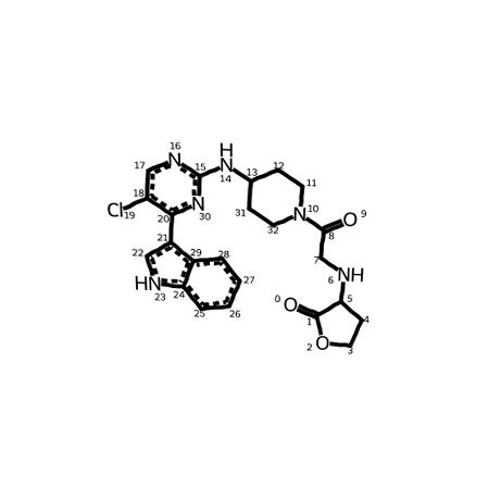 O=C1OCCC1NCC(=O)N1CCC(Nc2ncc(Cl)c(-c3c[nH]c4ccccc34)n2)CC1